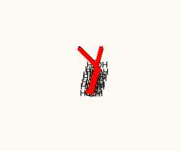 CCCCCCCCCCCCC/C=C/[C@@H](O)[C@H](CO[C@@H]1OC(CO)[C@@H](O[C@@H]2OC(CO)[C@H](O[C@@H]3OC(CO)[C@H](O)[C@H](O[C@H]4OC(CO)[C@H](O)[C@H](O[C@H]5OC(CO)[C@H](O)[C@H](O[C@@H]6OC(CO)[C@H](O)[C@H](O)C6NC(C)=O)C5O)C4O)C3O)[C@H](O)C2O)[C@H](O)C1O)NC(=O)CCCCCCCCCCCCCCCCCCCCC